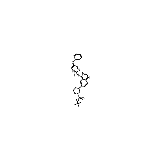 CC(C)(C)OC(=O)N1CCCC(c2ccc3ncnc(Nc4ncc(Oc5ccccc5)cn4)c3c2)C1